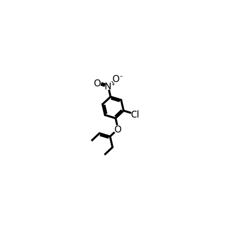 CC=C(CC)Oc1ccc([N+](=O)[O-])cc1Cl